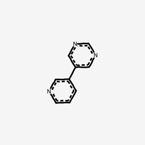 c1cncc(-c2cncnc2)c1